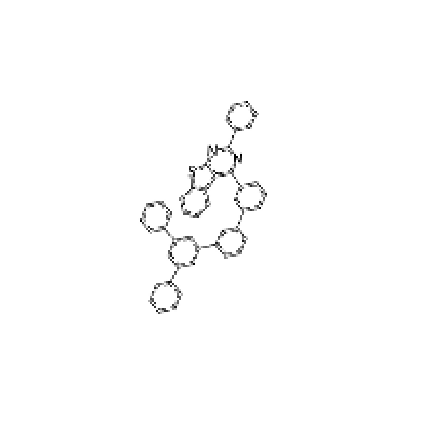 c1ccc(-c2cc(-c3ccccc3)cc(-c3cccc(-c4cccc(-c5nc(-c6ccccc6)nc6sc7ccccc7c56)c4)c3)c2)cc1